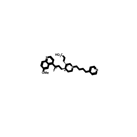 COc1ccc2nccc([C@H](F)CC[C@@H]3CCN(CCCCc4ccncc4)C[C@H]3CCC(=O)O)c2c1